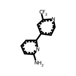 Nc1cccc(-c2ccnc(C(F)(F)F)c2)n1